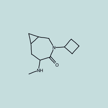 CNC1CC2CC2CN(C2CCC2)C1=O